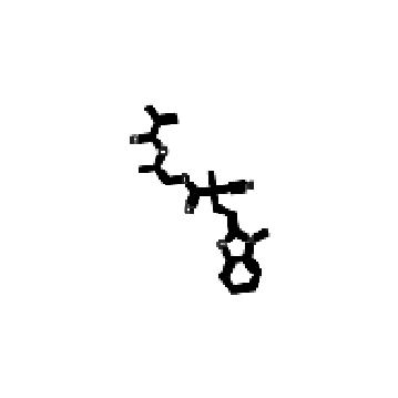 C=C(C)C(=O)OC(C)COC(=O)C(C)(C#N)C/C=C1\Oc2ccccc2N1C